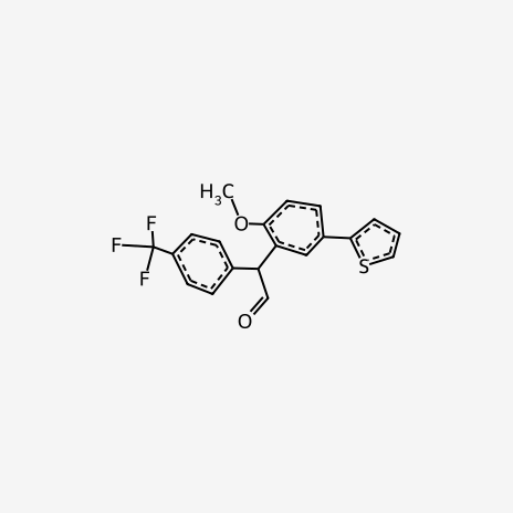 COc1ccc(-c2cccs2)cc1C(C=O)c1ccc(C(F)(F)F)cc1